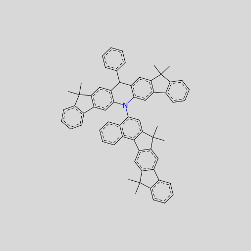 CC1(C)c2ccccc2-c2cc3c(cc21)-c1c(cc(N2c4cc5c(cc4C(c4ccccc4)c4cc6c(cc42)-c2ccccc2C6(C)C)C(C)(C)c2ccccc2-5)c2ccccc12)C3(C)C